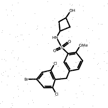 COc1ccc(Cc2c(Cl)cc(Br)cc2Cl)cc1S(=O)(=O)NC1CC(O)C1